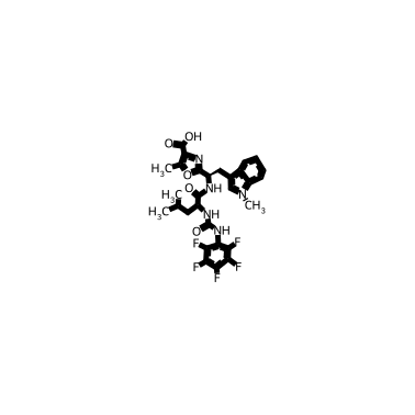 Cc1oc([C@@H](Cc2cn(C)c3ccccc23)NC(=O)C(CC(C)C)NC(=O)Nc2c(F)c(F)c(F)c(F)c2F)nc1C(=O)O